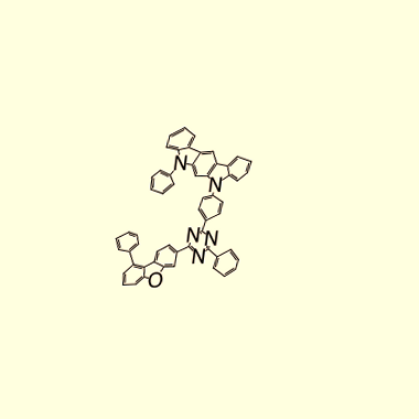 c1ccc(-c2nc(-c3ccc(-n4c5ccccc5c5cc6c7ccccc7n(-c7ccccc7)c6cc54)cc3)nc(-c3ccc4c(c3)oc3cccc(-c5ccccc5)c34)n2)cc1